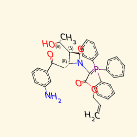 C=CCOC(=O)C(N1C(=O)[C@H]([C@@H](C)O)[C@H]1CC(=O)c1cccc(N)c1)=P(c1ccccc1)(c1ccccc1)c1ccccc1